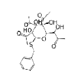 CC(=O)C(O)[C@H]1O[C@@H](SCc2ccccc2)[C@@](O)(C(C)=O)[C@](O)(C(C)=O)[C@]1(O)C(C)=O